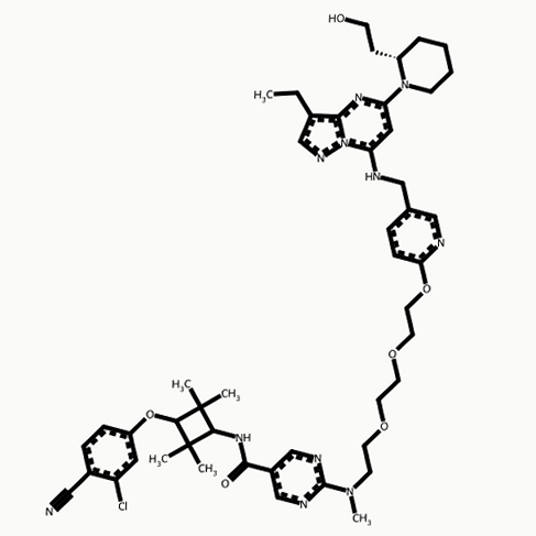 CCc1cnn2c(NCc3ccc(OCCOCCOCCN(C)c4ncc(C(=O)NC5C(C)(C)C(Oc6ccc(C#N)c(Cl)c6)C5(C)C)cn4)nc3)cc(N3CCCC[C@H]3CCO)nc12